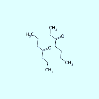 CCCC(=O)CCC.CCCCC(=O)CC